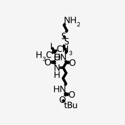 CC(C)(C)OC(=O)NCCCC(NC(=O)OC(C)(C)I)C(=O)NCCSSCCN